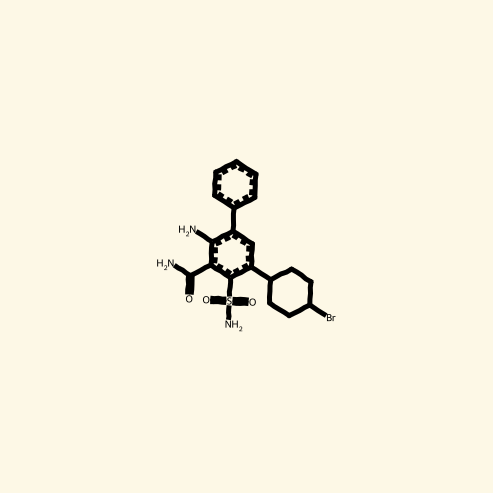 NC(=O)c1c(N)c(-c2ccccc2)cc(C2CCC(Br)CC2)c1S(N)(=O)=O